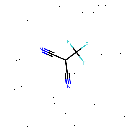 N#CC(C#N)C(F)(F)F